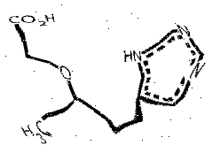 C[C@H](Cc1cnn[nH]1)OCC(=O)O